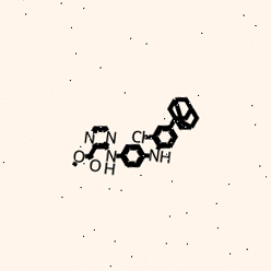 COC(=O)c1nccnc1Nc1ccc(Nc2ccc(C34CC5CC(CC(C5)C3)C4)cc2Cl)cc1